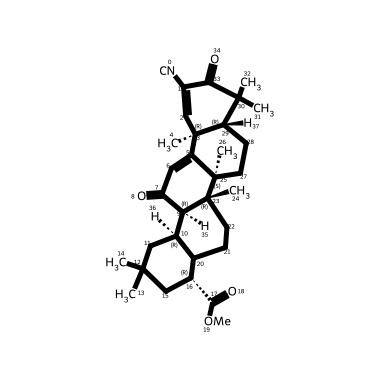 [C-]#[N+]C1=C[C@]2(C)C3=CC(=O)[C@@H]4[C@@H]5CC(C)(C)C[C@@H](C(=O)OC)C5CC[C@@]4(C)[C@]3(C)CC[C@H]2C(C)(C)C1=O